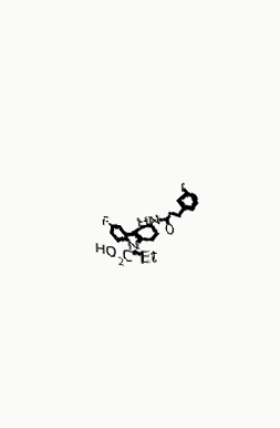 CCC(C(=O)O)n1c2c(c3cc(F)ccc31)C[C@@H](NC(=O)CCc1cccc(I)c1)CC2